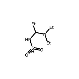 CCC(N[SH](=O)=O)N(CC)CC